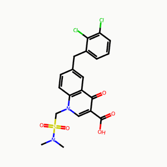 CN(C)S(=O)(=O)Cn1cc(C(=O)O)c(=O)c2cc(Cc3cccc(Cl)c3Cl)ccc21